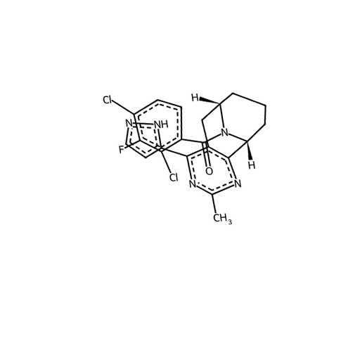 Cc1nc(-c2ccn[nH]2)c2c(n1)[C@H]1CCC[C@@H](C2)N1C(=O)c1ccc(Cl)c(F)c1Cl